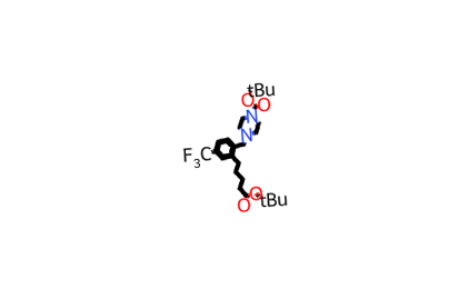 CC(C)(C)OC(=O)CCCCc1cc(C(F)(F)F)ccc1CN1CCN(C(=O)OC(C)(C)C)CC1